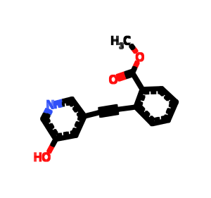 COC(=O)c1ccccc1C#Cc1cncc(O)c1